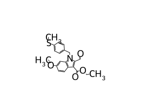 CCOC(=O)c1c(C=O)n(Cc2ccc(SC)cc2)c2cc(OC)ccc12